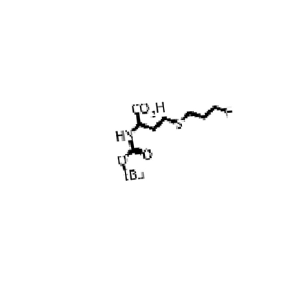 CC(C)(C)OC(=O)NC(CCSCCCF)C(=O)O